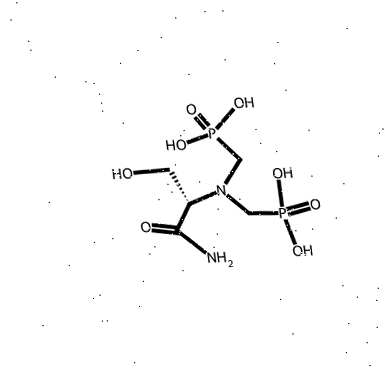 NC(=O)[C@H](CO)N(CP(=O)(O)O)CP(=O)(O)O